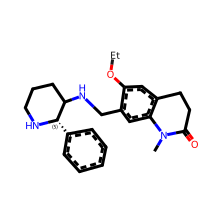 CCOc1cc2c(cc1CNC1CCCN[C@H]1c1ccccc1)N(C)C(=O)CC2